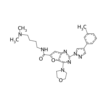 Cc1cccc(-c2cnn(-c3nc(N4CCOCC4)c4oc(C(=O)NCCCCN(C)C)cc4n3)c2)c1